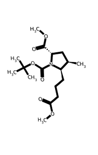 COC(=O)CCC[C@@H]1[C@H](C)C[C@@H](C(=O)OC)N1C(=O)OC(C)(C)C